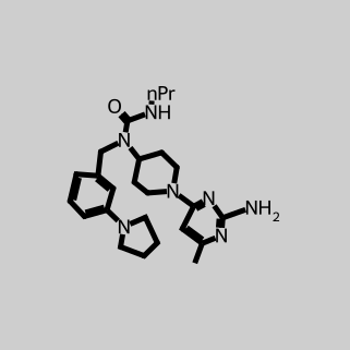 CCCNC(=O)N(Cc1cccc(N2CCCC2)c1)C1CCN(c2cc(C)nc(N)n2)CC1